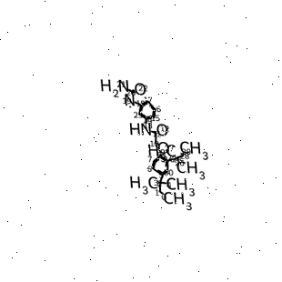 CCC(C)(C)c1ccc(OCC(=O)Nc2cccc([N]C(N)=O)c2)c(C(C)(C)CC)c1